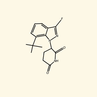 CC(C)(C)c1cccc2c(F)nn(C3CCC(=O)NC3=O)c12